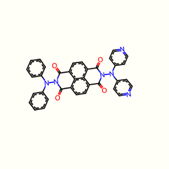 O=C1c2ccc3c4c(ccc(c24)C(=O)N1N(c1ccccc1)c1ccccc1)C(=O)N(N(c1ccncc1)c1ccncc1)C3=O